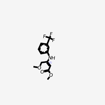 COC/C(=C\C(=O)OC)Nc1cccc(C(F)(F)F)c1